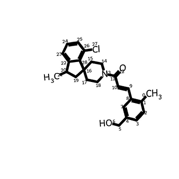 Cc1ccc(CO)cc1/C=C/C(=O)N1CCC2(CC1)CC(C)c1cccc(Cl)c12